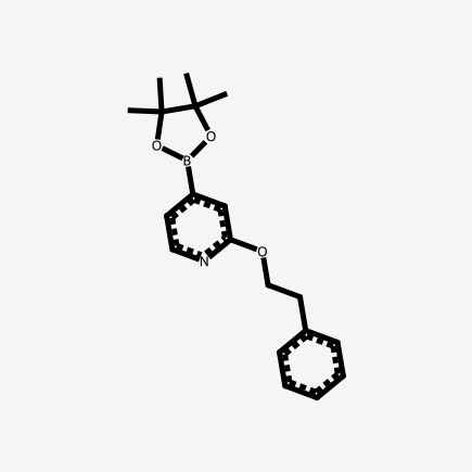 CC1(C)OB(c2ccnc(OCCc3ccccc3)c2)OC1(C)C